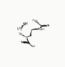 CCCS.S=C(S)NCCN(S)C(=S)S